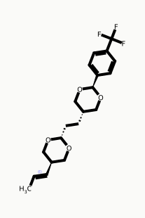 C/C=C/[C@H]1CO[C@H](CC[C@H]2CO[C@H](c3ccc(C(F)(F)F)cc3)OC2)OC1